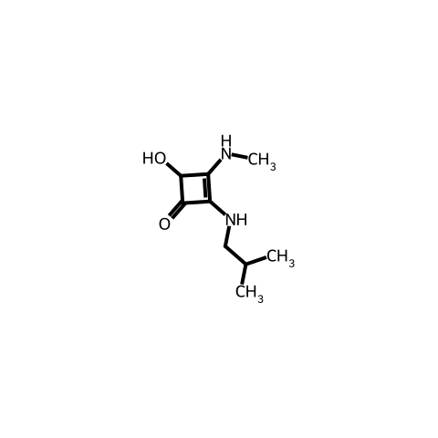 CNC1=C(NCC(C)C)C(=O)C1O